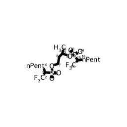 CCCCCC(C(F)(F)F)S(=O)(=O)OCCC(C)OS(=O)(=O)C(CCCCC)C(F)(F)F